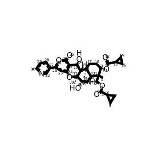 CC1(COC(=O)C2CC2)[C@@H](OC(=O)C2CC2)CC[C@]2(C)[C@H]3[C@@H](O)c4c(cc(-c5cccnc5)oc4=O)O[C@]3(C)[C@@H](O)C[C@@H]12